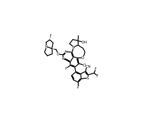 CC1(O)CCN2c3nc(OC[C@@]45CCCN4C[C@H](F)C5)nc4c(F)c(-c5ccc(F)c6sc(C(F)F)c(C#N)c56)c(Cl)c(c34)OCCC21